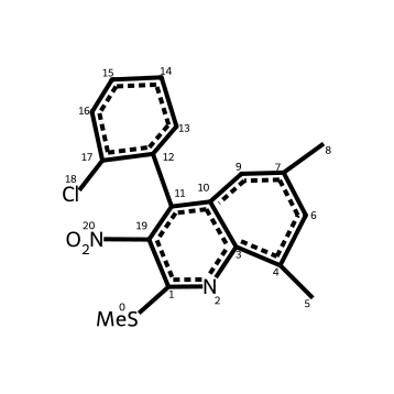 CSc1nc2c(C)cc(C)cc2c(-c2ccccc2Cl)c1[N+](=O)[O-]